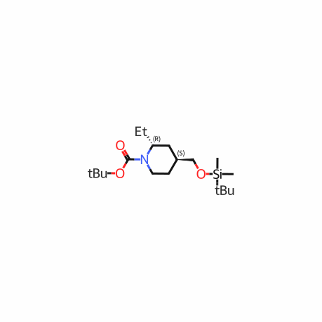 CC[C@@H]1C[C@@H](CO[Si](C)(C)C(C)(C)C)CCN1C(=O)OC(C)(C)C